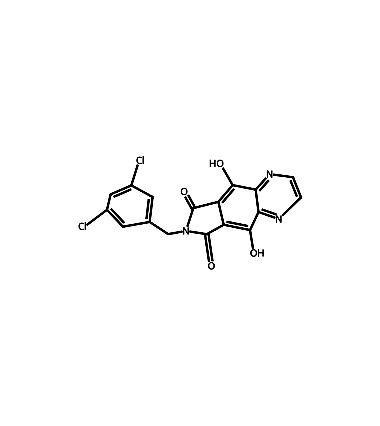 O=C1c2c(c(O)c3nccnc3c2O)C(=O)N1Cc1cc(Cl)cc(Cl)c1